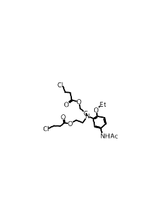 CCOc1ccc(NC(C)=O)cc1N(CCOC(=O)CCCl)CCOC(=O)CCCl